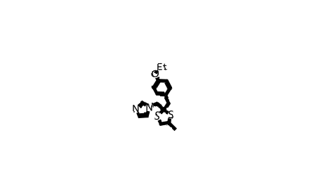 CCOc1ccc(CC2(Cn3ccnc3)SCC(C)S2)cc1